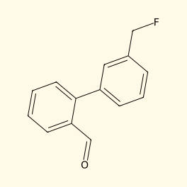 O=Cc1ccccc1-c1cccc(CF)c1